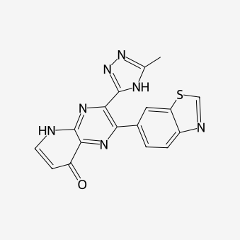 Cc1nnc(-c2nc3[nH]ccc(=O)c3nc2-c2ccc3ncsc3c2)[nH]1